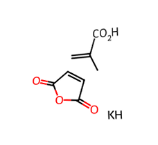 C=C(C)C(=O)O.O=C1C=CC(=O)O1.[KH]